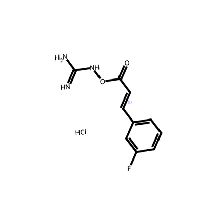 Cl.N=C(N)NOC(=O)/C=C/c1cccc(F)c1